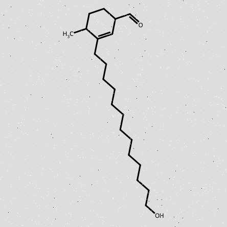 CC1CCC(C=O)C=C1CCCCCCCCCCCCCO